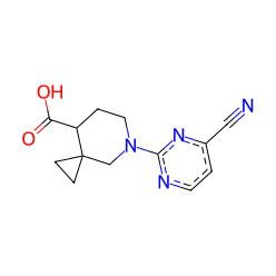 N#Cc1ccnc(N2CCC(C(=O)O)C3(CC3)C2)n1